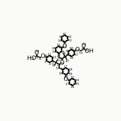 CC(C)(c1ccc(OCC(=O)O)cc1)C(Cc1cccc(Oc2ccccc2)c1)OC(Cc1cccc(Oc2ccccc2)c1)C(C)(C)c1ccc(OCC(=O)O)cc1